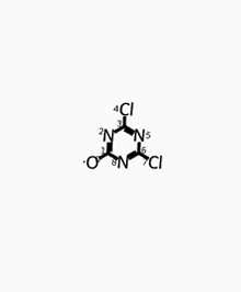 [O]c1nc(Cl)nc(Cl)n1